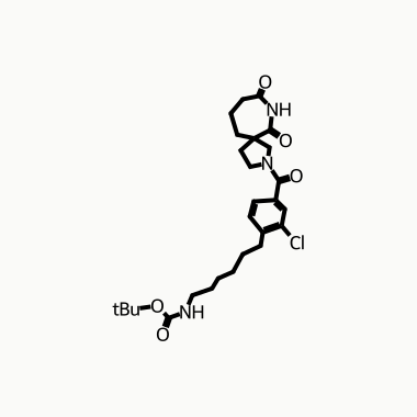 CC(C)(C)OC(=O)NCCCCCCc1ccc(C(=O)N2CCC3(CCCC(=O)NC3=O)C2)cc1Cl